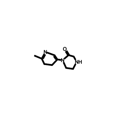 CC1=NC=C(N2CCNCC2=O)CC1